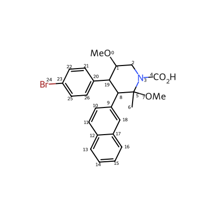 COC1CN(C(=O)O)C(C)(OC)C(c2ccc3ccccc3c2)C1c1ccc(Br)cc1